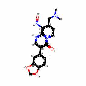 CN(C)Cc1ccn2c(=O)c(-c3ccc4c(c3)OCO4)cnc2c1N=O